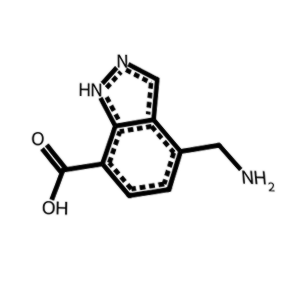 NCc1ccc(C(=O)O)c2[nH]ncc12